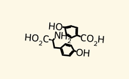 N[C@@H](Cc1ccc(O)cc1)C(=O)O.O=C(O)c1ccc(O)cc1